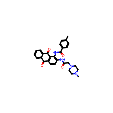 Cc1ccc(C(=O)Nc2c(NC(=O)CN3CCN(C)CC3)ccc3c2C(=O)c2ccccc2C3=O)cc1